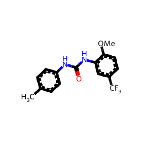 COc1ccc(C(F)(F)F)cc1NC(=O)Nc1ccc(C)cc1